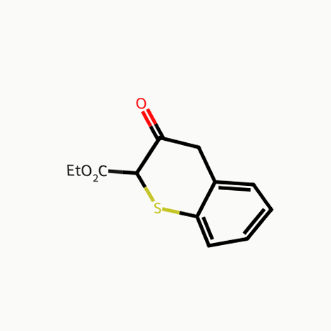 CCOC(=O)C1Sc2ccccc2CC1=O